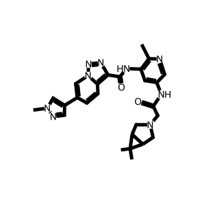 Cc1ncc(NC(=O)CN2CC3C(C2)C3(C)C)cc1NC(=O)c1nnn2cc(-c3cnn(C)c3)ccc12